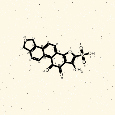 Cc1c(S(=O)(=O)O)oc2c1C(=O)C(=O)c1c-2ccc2c3c(ccc12)COC3